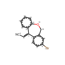 N#CC=C1c2ccc(Br)cc2COc2ccccc21